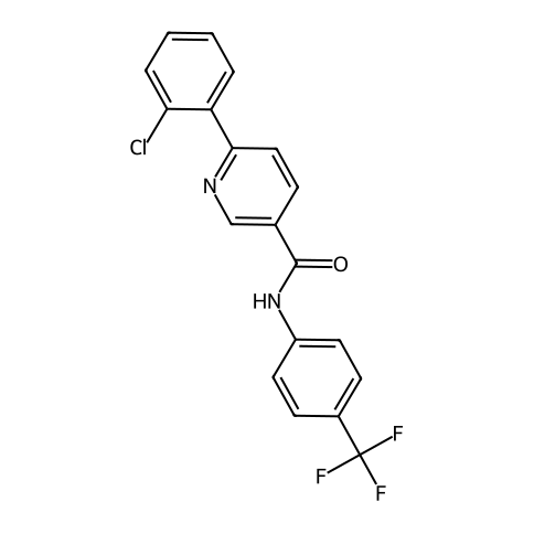 O=C(Nc1ccc(C(F)(F)F)cc1)c1ccc(-c2ccccc2Cl)nc1